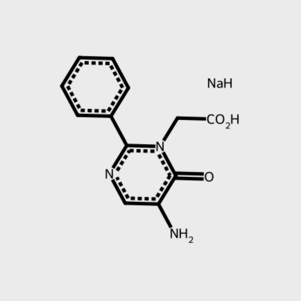 Nc1cnc(-c2ccccc2)n(CC(=O)O)c1=O.[NaH]